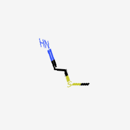 CSCC=N